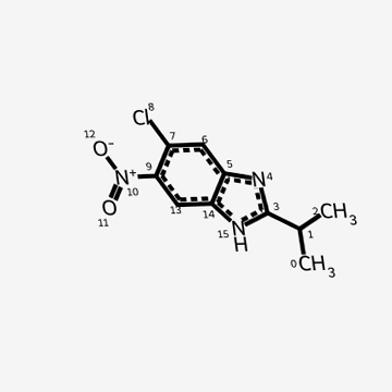 CC(C)c1nc2cc(Cl)c([N+](=O)[O-])cc2[nH]1